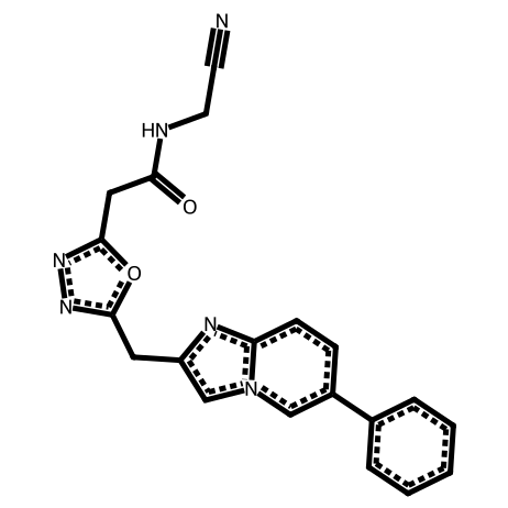 N#CCNC(=O)Cc1nnc(Cc2cn3cc(-c4ccccc4)ccc3n2)o1